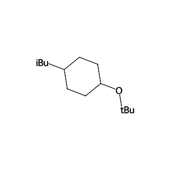 CCC(C)C1CCC(OC(C)(C)C)CC1